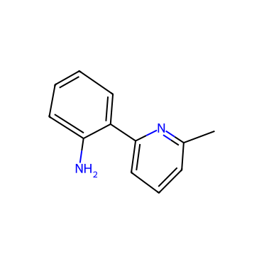 Cc1cccc(-c2ccccc2N)n1